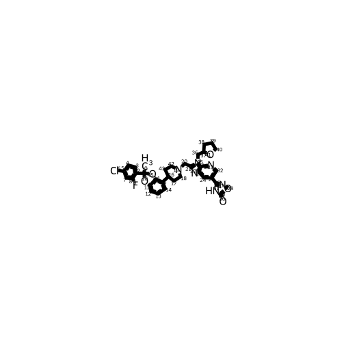 CC1(c2ccc(Cl)cc2F)Oc2cccc(C3CCN(Cc4nc5cc(-c6noc(=O)[nH]6)cnc5n4CC4CCCO4)CC3)c2O1